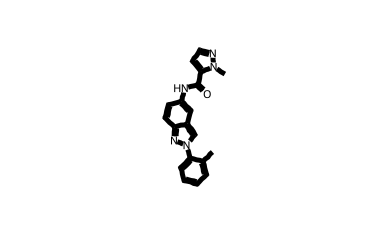 Cc1ccccc1-n1cc2cc(NC(=O)c3ccnn3C)ccc2n1